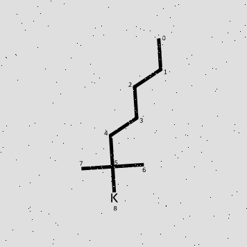 CCCCC[C](C)(C)[K]